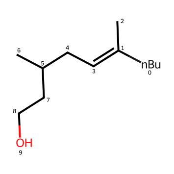 CCCCC(C)=CCC(C)CCO